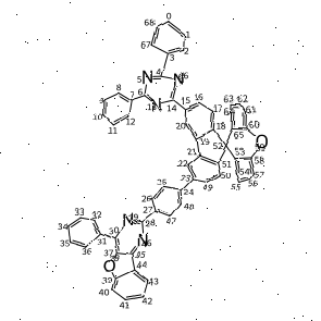 c1ccc(-c2nc(-c3ccccc3)nc(-c3ccc4c(c3)-c3cc(-c5ccc(-c6nc(-c7ccccc7)c7oc8ccccc8c7n6)cc5)ccc3C43c4ccccc4Oc4ccccc43)n2)cc1